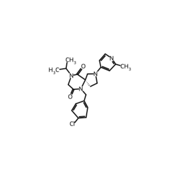 Cc1cc(N2CC[C@@]3(C2)C(=O)N(C(C)C)CC(=O)N3Cc2ccc(Cl)cc2)ccn1